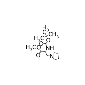 COC(=O)[C@H](CN1CCCC1)NC(=O)OC(C)(C)C